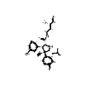 CC(C)C[C@H]1N[C@@H](C(=O)NCC[C@H](O)CO)[C@H](c2cccc(Cl)c2)[C@@]1(C#N)c1ccc(Cl)cc1